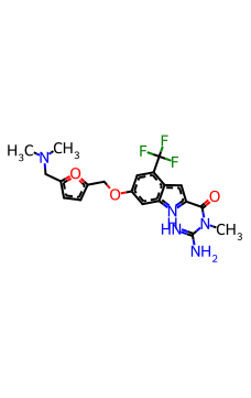 CN(C)Cc1ccc(COc2cc(C(F)(F)F)c3cc(C(=O)N(C)C(=N)N)[nH]c3c2)o1